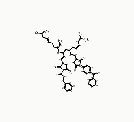 C=CC(CC/C=C/CC(C)C)CC(/C=C/C1CC(=O)N(C(=O)OCc2ccccc2)C1=O)CC(C/C=C\CC(C)C)CCC1CC(=O)N(c2ccc(C(=O)c3ccccc3)cc2)C1=O